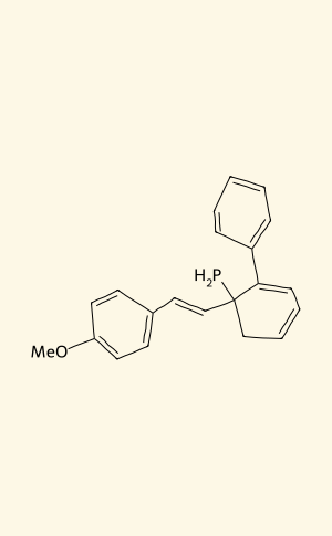 COc1ccc(C=CC2(P)CC=CC=C2c2ccccc2)cc1